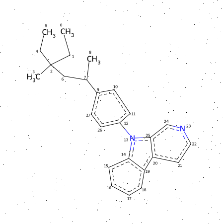 CCC(C)(CC)CC(C)c1ccc(-n2c3ccccc3c3ccncc32)cc1